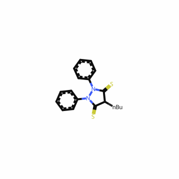 CCCCC1C(=S)N(c2ccccc2)N(c2ccccc2)C1=S